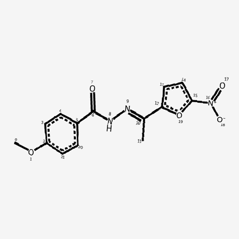 COc1ccc(C(=O)N/N=C(\C)c2ccc([N+](=O)[O-])o2)cc1